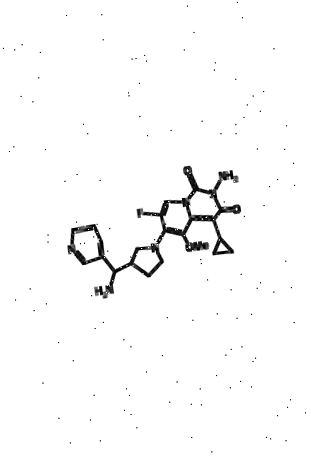 COc1c(N2CCC(C(N)c3cccnc3)C2)c(F)cn2c(=O)n(N)c(=O)c(C3CC3)c12